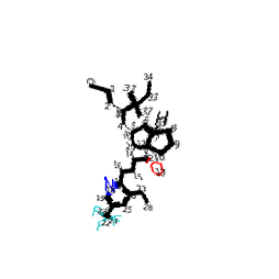 CCC[C@@H](C[C@@H]1C[C@H]2CCC[C@@]2(C(=O)CCCc2ncc(C(F)(F)F)cc2CC)C1)C(C)(C)CC